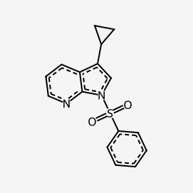 O=S(=O)(c1ccccc1)n1cc(C2CC2)c2cccnc21